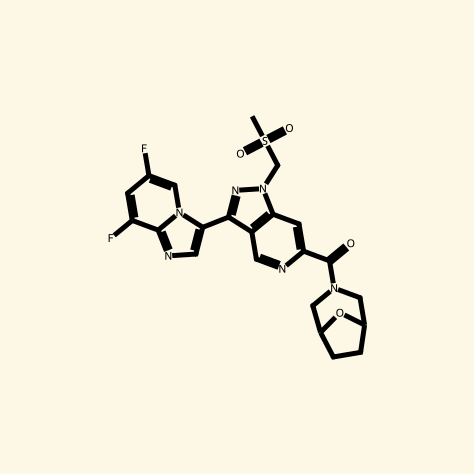 CS(=O)(=O)Cn1nc(-c2cnc3c(F)cc(F)cn23)c2cnc(C(=O)N3CC4CCC(C3)O4)cc21